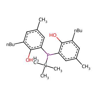 CCCCc1cc(C)cc(P(c2cc(C)cc(CCCC)c2O)[Si](C)(C)C)c1O